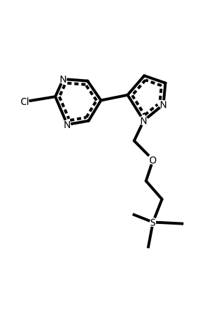 CS(C)(C)CCOCn1nccc1-c1cnc(Cl)nc1